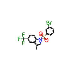 Cc1cn(S(=O)(=O)c2cccc(Br)c2)c2ccc(C(F)(F)F)cc12